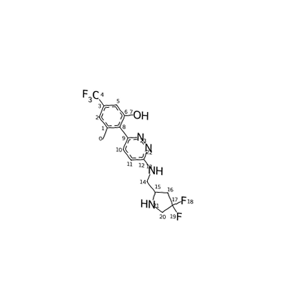 Cc1cc(C(F)(F)F)cc(O)c1-c1ccc(NCC2CC(F)(F)CN2)nn1